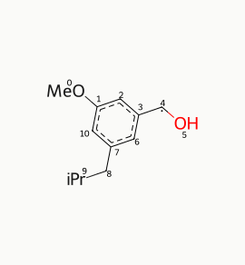 COc1cc([CH]O)cc(CC(C)C)c1